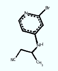 CC(CC#N)Nc1ccnc(Br)c1